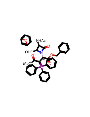 COC(=O)C([C@@H](C(=O)OCc1ccccc1)N1C(=O)C(NC(C)=O)C1C=O)=P(c1ccccc1)(c1ccccc1)c1ccccc1.c1cc2cc(c1)O2